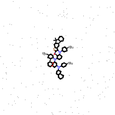 Cc1ccc(N(c2ccc(C(C)(C)C)cc2)c2ccc3ccccc3c2)cc1N(c1ccc(C(C)(C)C)cc1-c1ccccc1)c1cccc(N(c2ccc(C(C)(C)C)cc2)c2c(I)sc3cc4c(cc23)-c2ccccc2C4(C)C)c1C